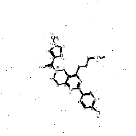 COCCCc1nc(-c2ccc(Cl)nc2)nc2c1CN(C(=O)c1cn(C)cn1)CC2